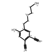 N#Cc1cc(N)c(CCOCCO)cc1C#N